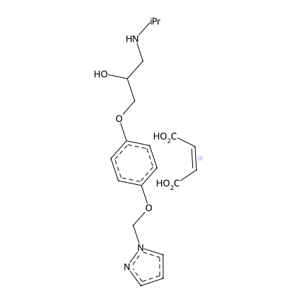 CC(C)NCC(O)COc1ccc(OCn2cccn2)cc1.O=C(O)/C=C\C(=O)O